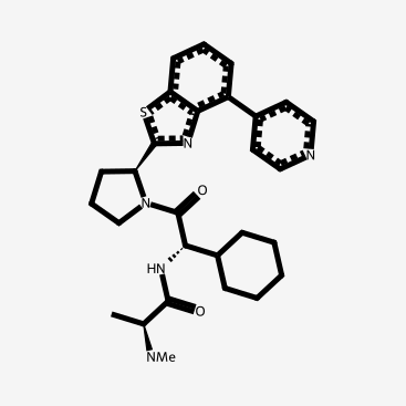 CN[C@@H](C)C(=O)N[C@H](C(=O)N1CCC[C@H]1c1nc2c(-c3ccncc3)cccc2s1)C1CCCCC1